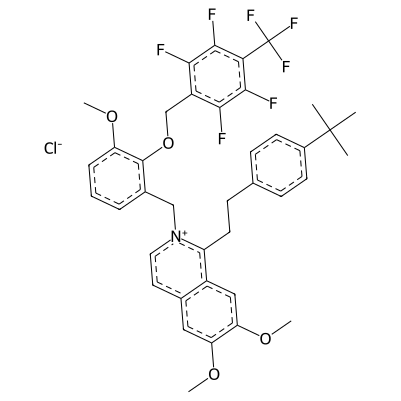 COc1cc2cc[n+](Cc3cccc(OC)c3OCc3c(F)c(F)c(C(F)(F)F)c(F)c3F)c(CCc3ccc(C(C)(C)C)cc3)c2cc1OC.[Cl-]